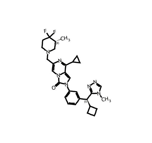 C[C@@H]1CN(Cc2cn3c(=O)n(-c4cccc([C@@H](c5nncn5C)C5CCC5)c4)cc3c(C3CC3)n2)CCC1(F)F